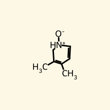 CC1=C(C)C[NH+]([O-])C=C1